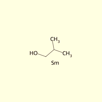 CC(C)CO.[Sm]